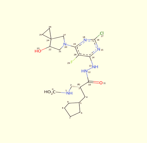 O=C(O)NC[C@@H](CC1CCCC1)C(=O)NNc1nc(Cl)nc(N2CC(O)C3(CC3)C2)c1F